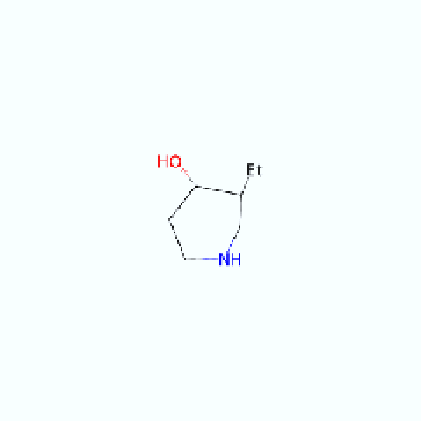 CCC1CNCC[C@@H]1O